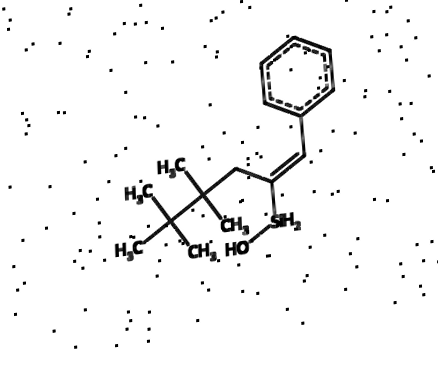 CC(C)(C)C(C)(C)C/C(=C\c1ccccc1)[SiH2]O